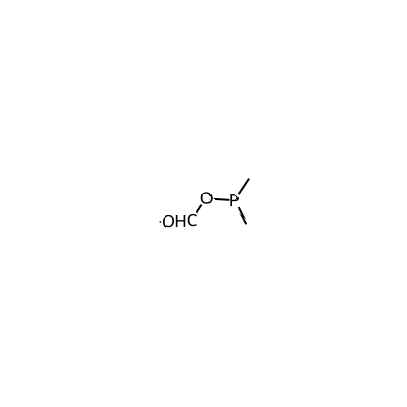 CP(C)O[C]=O